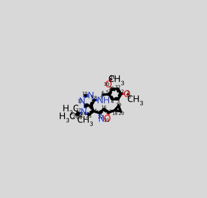 COc1ccc(CNc2ncnc3c2c(-c2cc(C4CC4)on2)cn3C(C)(C)C)c(OC)c1